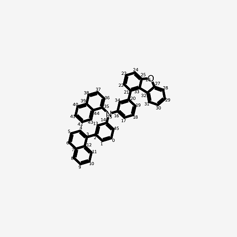 c1cc(-c2cccc3ccccc23)cc(N(c2cccc(-c3cccc4oc5ccccc5c34)c2)c2cccc3ccccc23)c1